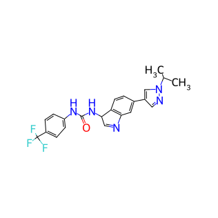 CC(C)n1cc(-c2ccc3c(c2)N=CC3NC(=O)Nc2ccc(C(F)(F)F)cc2)cn1